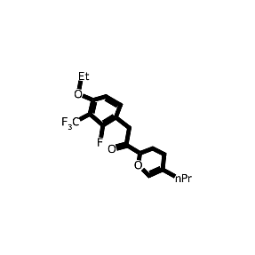 CCCC1=COC(C(=O)Cc2ccc(OCC)c(C(F)(F)F)c2F)CC1